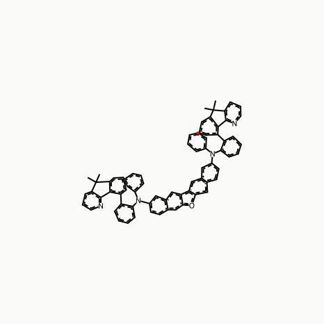 CC1(C)c2cccnc2-c2c(-c3ccccc3N(c3ccccc3)c3ccc4cc5oc6cc7ccc(N(c8ccccc8)c8ccccc8-c8cccc9c8-c8ncccc8C9(C)C)cc7cc6c5cc4c3)cccc21